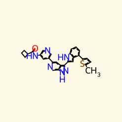 Cc1ccc(-c2cccc3[nH]c(-c4n[nH]c5cnc(-c6cncc(NC(=O)C7CCC7)c6)cc45)cc23)s1